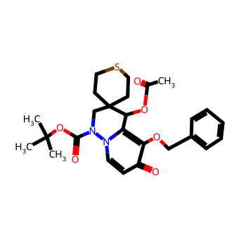 CC(=O)OC1c2c(OCc3ccccc3)c(=O)ccn2N(C(=O)OC(C)(C)C)CC12CCSCC2